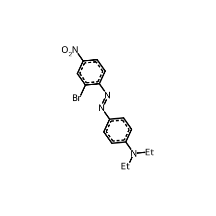 CCN(CC)c1ccc(N=Nc2ccc([N+](=O)[O-])cc2Br)cc1